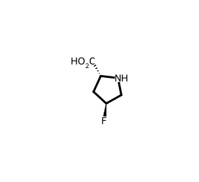 O=C(O)[C@H]1C[C@H](F)CN1